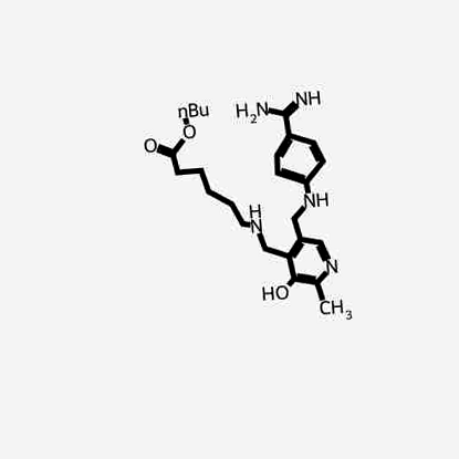 CCCCOC(=O)CCCCCNCc1c(CNc2ccc(C(=N)N)cc2)cnc(C)c1O